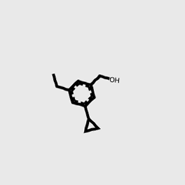 CCc1cc(CO)cc(C2CC2)c1